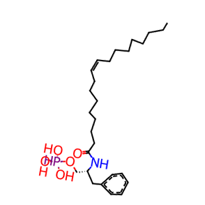 CCCCCCCC/C=C\CCCCCCCC(=O)N[C@@H](CO[PH](O)(O)O)Cc1ccccc1